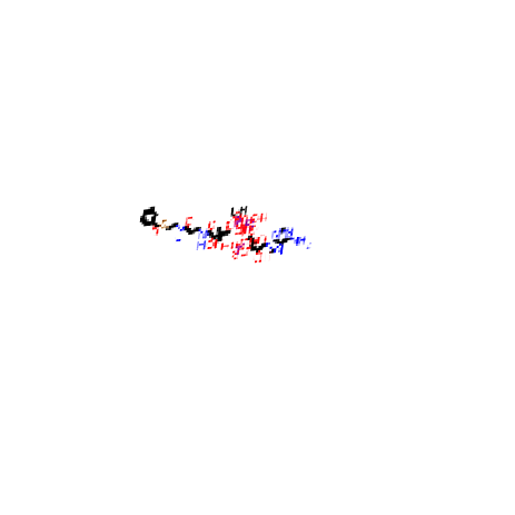 CC(C)(COP(=O)(O)OP(=O)(O)OCC1OC(n2cnc3c(N)ncnc32)C(O)C1OP(=O)(O)O)C(O)C(=O)NCCC(=O)NCCSC(=O)c1ccccc1.[LiH]